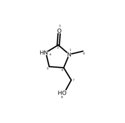 CN1C(=O)NCC1CO